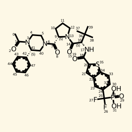 CC(=O)N1CCN(C(=O)[C@@H]2CCCN2C(=O)[C@@H](NC(=O)c2cc3cc(C(F)(F)P(=O)(O)O)ccc3s2)C(C)(C)C)C[C@@H]1c1ccccc1